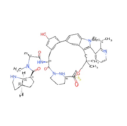 CCn1c(-c2cccnc2[C@H](C)OC)c2c3cc(ccc31)-c1cc(O)cc(c1)C[C@H](NC(=O)[C@H](C(C)C)N(C)C(=O)[C@H]1CC[C@H]3CCN[C@H]31)C(=O)N1CCC[C@@](C3=CS3)(N1)C(=O)OCC(C)(C)C2